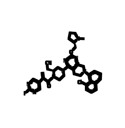 C=C(C(=O)N1CCN(c2nc(OC[C@@H]3CCCN3C)nc3c2CCN(c2cccc4cccc(Cl)c24)C3)C[C@@H]1CC#N)c1cnc(F)nc1